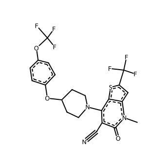 Cn1c(=O)c(C#N)c(N2CCC(Oc3ccc(OC(F)(F)F)cc3)CC2)c2sc(C(F)(F)F)cc21